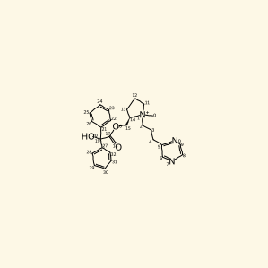 C[N+]1(CCCc2cnccn2)CCC[C@@H]1COC(=O)C(O)(c1ccccc1)c1ccccc1